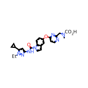 CCn1nc(NC(=O)n2ccc3cc(Oc4ccnc(CN(C)C(=O)O)n4)ccc32)cc1C1CC1